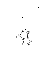 CC1COc2cscc21